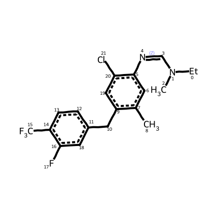 CCN(C)/C=N\c1cc(C)c(Cc2ccc(C(F)(F)F)c(F)c2)cc1Cl